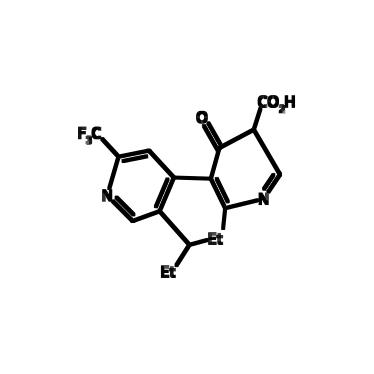 CCC(CC)c1cnc(C(F)(F)F)cc1C1=C(C)N=CC(C(=O)O)C1=O